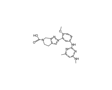 CNc1cc(C)nc(Nc2ccc(OC)c(-n3cc4c(n3)CN(C(=O)O)CC4)c2)n1